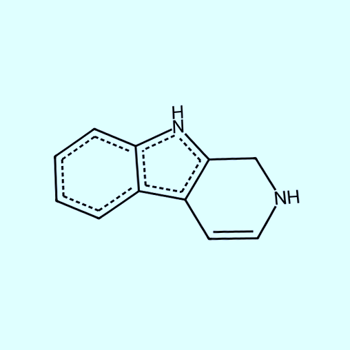 C1=Cc2c([nH]c3ccccc23)CN1